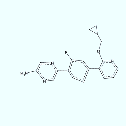 Nc1cnc(-c2ccc(-c3cccnc3OCC3CC3)cc2F)cn1